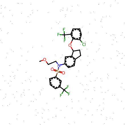 COCCN(c1ccc2c(c1)C(Oc1c(Cl)cccc1C(F)(F)F)CC2)S(=O)(=O)c1cccc(C(F)(F)F)c1